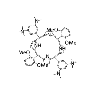 COc1cccc(OC)c1-c1c2nc(c(-c3cc(N(C)C)cc([N+](C)(C)C)c3)c3ccc([nH]3)c(-c3c(OC)cccc3OC)c3nc(c(-c4cc(N(C)C)cc([N+](C)(C)C)c4)c4ccc1[nH]4)C=C3)C=C2